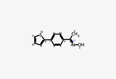 C/C(=N\O)c1ccc(-c2cccs2)cc1